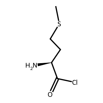 CSCC[C@H](N)C(=O)Cl